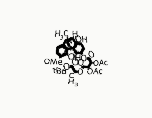 COc1ccc2c3c1O[C@H]1C(OC(=O)[C@@H](OC(C)=O)[C@H](OC(C)=O)C(=O)OC(C)C(=O)OC(C)(C)C)=CC[C@@]4(O)[C@@H](C2)N(C)CC[C@]314